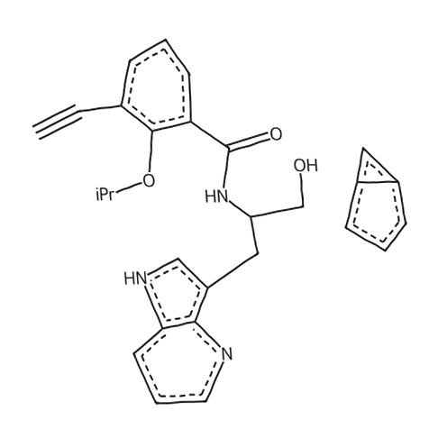 C#Cc1cccc(C(=O)NC(CO)Cc2c[nH]c3cccnc23)c1OC(C)C.c1cc2cc-2c1